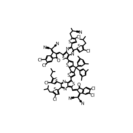 Cc1cc(C)cc(C2(c3cc(C)cc(C)c3)c3cc(-c4sc(/C=C5\C(=O)c6cc(Cl)c(Cl)cc6C5=C(C#N)C#N)c5nc(-c6cc(Cl)c(CC(C)C)s6)c(-c6cc(Cl)c(CC(C)C)s6)nc45)sc3-c3sc(-c4sc(/C=C5\C(=O)c6cc(Cl)c(Cl)cc6C5=C(C#N)C#N)c5nc(-c6cc(Cl)c(CC(C)C#N)s6)c(-c6cc(Cl)c(CC(C)C)s6)nc45)cc32)c1